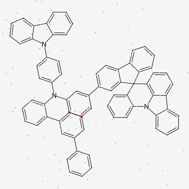 c1ccc(-c2cccc(-c3ccccc3N(c3ccc(-n4c5ccccc5c5ccccc54)cc3)c3cccc(-c4ccc5c(c4)C4(c6ccccc6-5)c5ccccc5-n5c6ccccc6c6cccc4c65)c3)c2)cc1